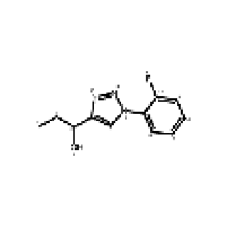 CCC(O)c1cn(-c2ccccc2F)nn1